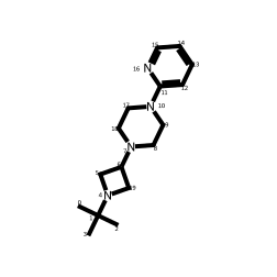 CC(C)(C)N1CC(N2CCN(c3ccccn3)CC2)C1